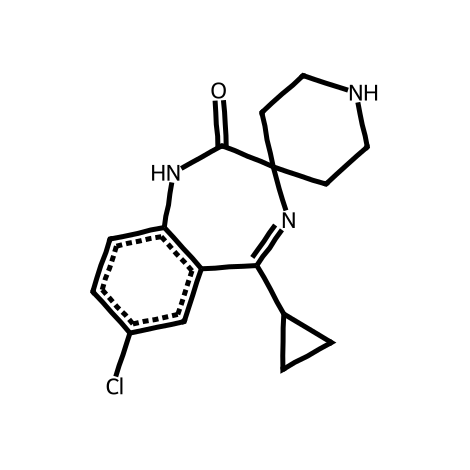 O=C1Nc2ccc(Cl)cc2C(C2CC2)=NC12CCNCC2